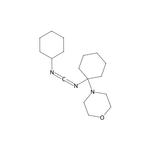 C(=NC1CCCCC1)=NC1(N2CCOCC2)CCCCC1